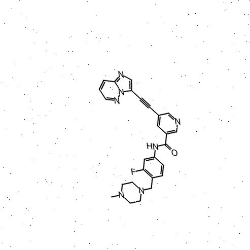 CN1CCN(Cc2ccc(NC(=O)c3cncc(C#Cc4cnc5cccnn45)c3)cc2F)CC1